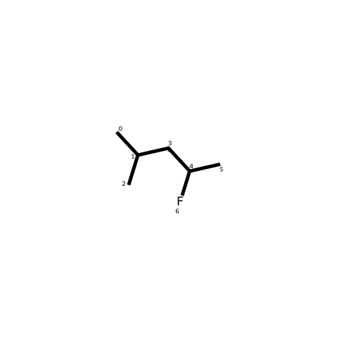 CC(C)[CH]C(C)F